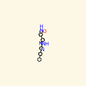 O=C1NCc2ccc(-c3ccc4[nH]c(-c5ccc(-c6ccc(C7CCCCC7)cc6)nc5)nc4c3)cc21